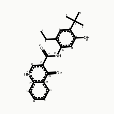 CCc1cc(C(C)(C)C)c(O)cc1NC(=O)c1c[nH]c2ccccc2c1=O